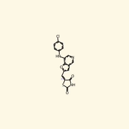 O=C1NC(=O)/C(=C\c2cc3cncc(Nc4ccc(Cl)cc4)c3o2)S1